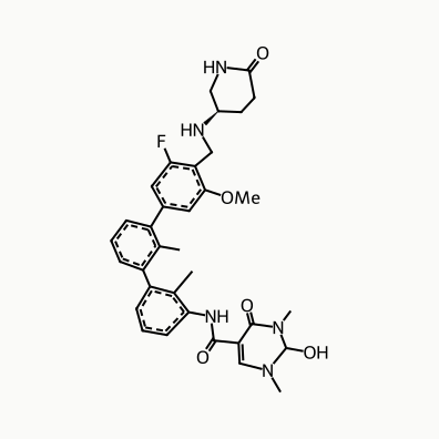 COc1cc(-c2cccc(-c3cccc(NC(=O)C4=CN(C)C(O)N(C)C4=O)c3C)c2C)cc(F)c1CN[C@@H]1CCC(=O)NC1